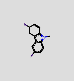 Cn1c2c(c3cc(I)ccc31)CC(I)C=C2